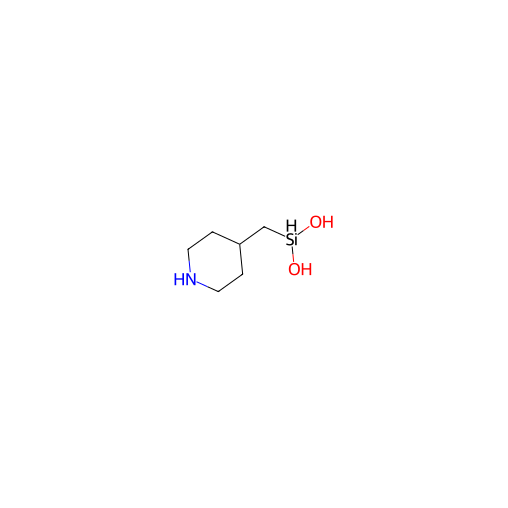 O[SiH](O)CC1CCNCC1